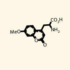 COc1ccc2c(CC(N)C(=O)O)cc(=O)oc2c1